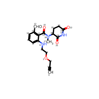 C#CCOCCNc1cccc(C=O)c1C(=O)N(C)C1CCC(=O)NC1=O